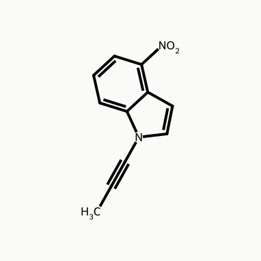 CC#Cn1ccc2c([N+](=O)[O-])cccc21